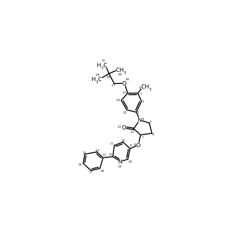 Cc1cc(N2CCC(Oc3ccc(-c4ccccc4)nc3)C2=O)ccc1OCC(C)(C)C